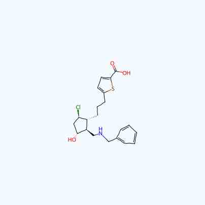 O=C(O)c1ccc(CCC[C@@H]2[C@@H](CNCc3ccccc3)[C@H](O)C[C@H]2Cl)s1